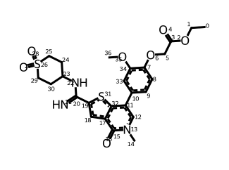 CCOC(=O)COc1ccc(-c2cn(C)c(=O)c3cc(C(=N)NC4CCS(=O)(=O)CC4)sc23)cc1OC